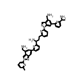 Cc1cccc(-n2cc3c(CN)cc(-c4cccc(C(N)CCc5cccc(-n6ncc7c(CN)cc(-c8cccc(C(C)N)n8)cc76)n5)n4)cc3n2)n1